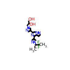 CC[C@@H](n1cc(-c2nc(-c3cnn(C[C@@H](O)CO)c3)cn3nccc23)cn1)C(C)(F)F